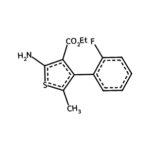 CCOC(=O)c1c(N)sc(C)c1-c1ccccc1F